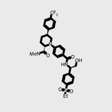 CCS(=O)(=O)c1ccc([C@H](CO)NC(=O)c2ccc(N3C[C@H](c4ccc(C(F)(F)F)cc4)CC[C@H]3C(=O)NC)cc2)cc1